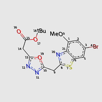 COc1cc(Br)cc2sc(Cc3nnc(CC(=O)OC(C)(C)C)o3)nc12